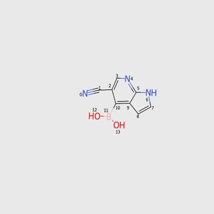 N#Cc1cnc2[nH]ccc2c1B(O)O